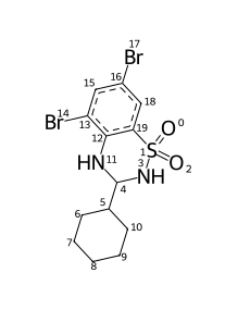 O=S1(=O)NC(C2CCCCC2)Nc2c(Br)cc(Br)cc21